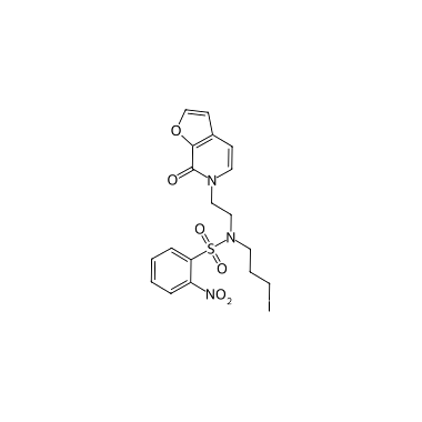 O=c1c2occc2ccn1CCN(CCCI)S(=O)(=O)c1ccccc1[N+](=O)[O-]